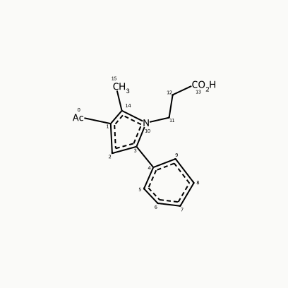 CC(=O)c1cc(-c2ccccc2)n(CCC(=O)O)c1C